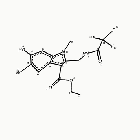 CCOC(=O)c1c(CNC(=O)C(F)(F)F)n(C)c2cc(O)c(Br)cc12